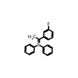 CC(c1cccc(F)c1)[SiH](c1ccccc1)c1ccccc1